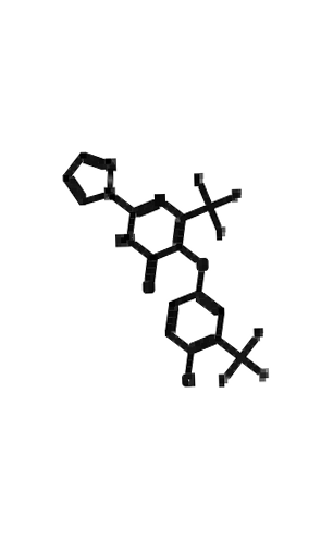 O=c1[nH]c(-n2cccn2)nc(C(F)(F)F)c1Oc1ccc(Cl)c(C(F)(F)F)c1